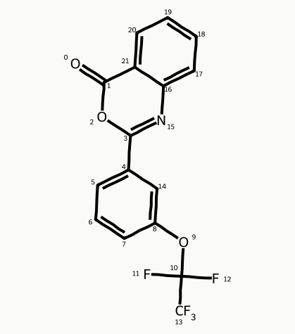 O=c1oc(-c2cccc(OC(F)(F)C(F)(F)F)c2)nc2ccccc12